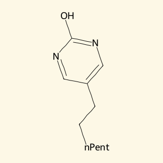 CCCCCCCc1cnc(O)nc1